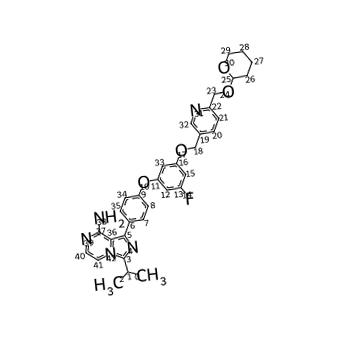 CC(C)c1nc(-c2ccc(Oc3cc(F)cc(OCc4ccc(COC5CCCCO5)nc4)c3)cc2)c2c(N)nccn12